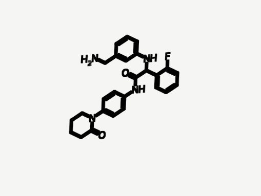 NCc1cccc(NC(C(=O)Nc2ccc(N3CCCCC3=O)cc2)c2ccccc2F)c1